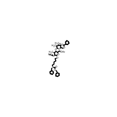 CC(=O)OCC1O[C@H](OCCCCCN(Cc2ccccc2)C(=O)OCc2ccccc2)C(N=[N+]=[N-])[C@@H](C)[C@@H]1O[C@@H]1OC2COC(c3ccccc3)O[C@H]2[C@H](C)C1C